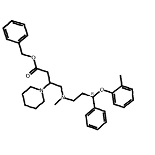 Cc1ccccc1O[C@H](CCN(C)CC(CC(=O)OCc1ccccc1)N1CCCCC1)c1ccccc1